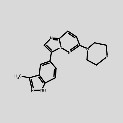 Cc1n[nH]c2ccc(-c3cnc4ccc(N5CCSCC5)nn34)cc12